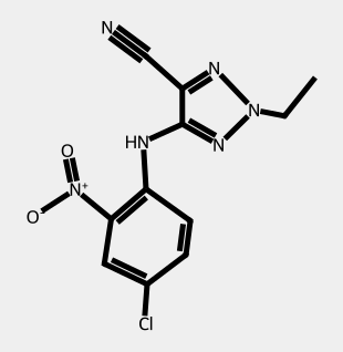 CCn1nc(C#N)c(Nc2ccc(Cl)cc2[N+](=O)[O-])n1